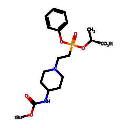 CCOC(=O)[C@H](C)OP(=O)(CCN1CCC(NC(=O)OC(C)(C)C)CC1)Oc1ccccc1